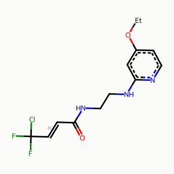 CCOc1ccnc(NCCNC(=O)/C=C/C(F)(F)Cl)c1